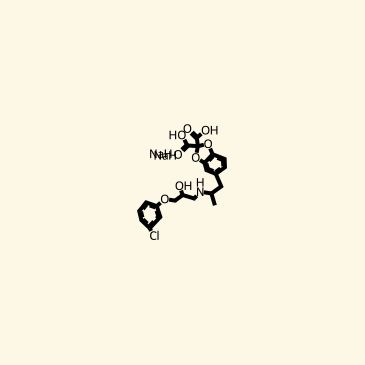 CC(Cc1ccc2c(c1)OC(C(=O)O)(C(=O)O)O2)NCC(O)COc1cccc(Cl)c1.[NaH].[NaH]